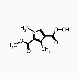 COC(=O)c1cn(N)c(C(=O)OC)c1C